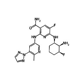 Cc1ncc(Nc2nc(N[C@@H]3CCC[C@H](F)[C@@H]3N)c(F)cc2C(N)=O)cc1-n1nccn1